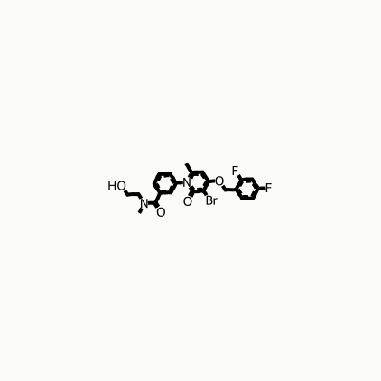 Cc1cc(OCc2ccc(F)cc2F)c(Br)c(=O)n1-c1cccc(C(=O)N(C)CCO)c1